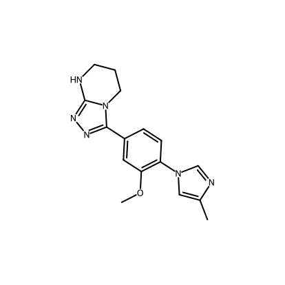 COc1cc(-c2nnc3n2CCCN3)ccc1-n1cnc(C)c1